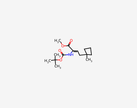 COC(=O)C(=CCC1(C)CCC1)NC(=O)OC(C)(C)C